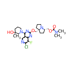 CN(C)C(=O)OC[C@@H]1CC[C@@]2(COc3nc(N4CCC[C@@](C)(O)C4)c4cnc(Cl)c(F)c4n3)CCCN12